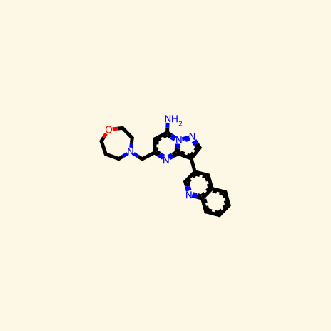 Nc1cc(CN2CCCOCC2)nc2c(-c3cnc4ccccc4c3)cnn12